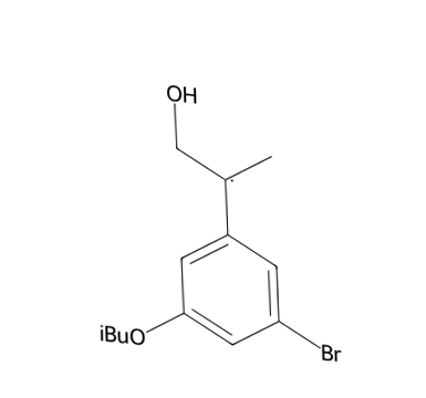 C[C](CO)c1cc(Br)cc(OCC(C)C)c1